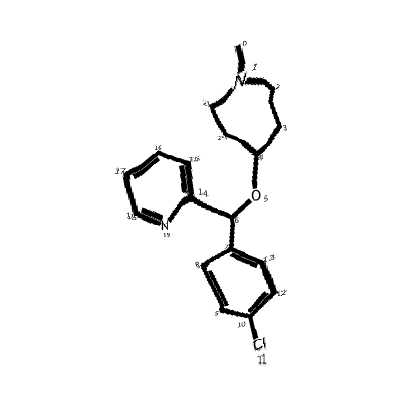 CN1CCC(OC(c2ccc(Cl)cc2)c2ccccn2)CC1